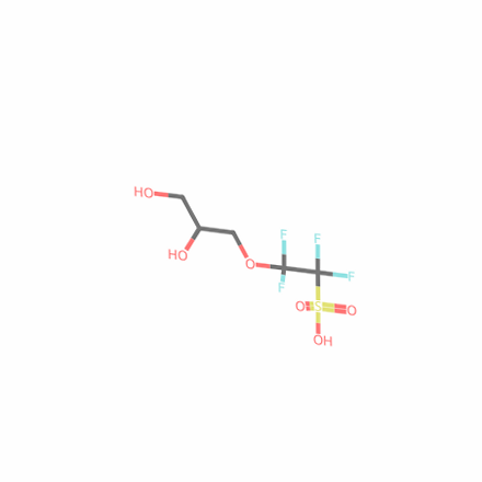 O=S(=O)(O)C(F)(F)C(F)(F)OCC(O)CO